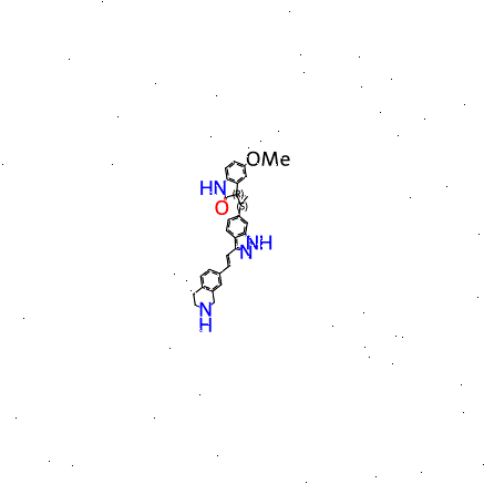 COc1ccc2c(c1)[C@]1(C[C@H]1c1ccc3c(C=Cc4ccc5c(c4)CNCC5)n[nH]c3c1)C(=O)N2